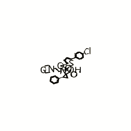 O=C(O)[C@@]1(N(CCN2CCOCC2)S(=O)(=O)c2ccc(-c3ccc(Cl)cc3)s2)C[C@H]1c1ccccc1